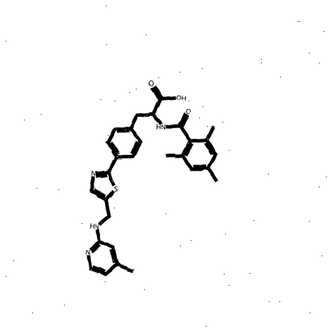 Cc1ccnc(NCc2cnc(-c3ccc(CC(NC(=O)c4c(C)cc(C)cc4C)C(=O)O)cc3)s2)c1